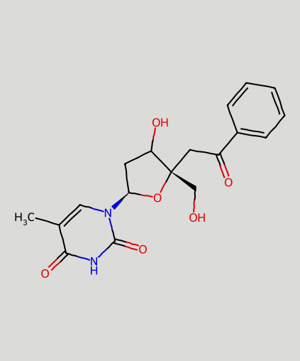 Cc1cn([C@H]2CC(O)[C@](CO)(CC(=O)c3ccccc3)O2)c(=O)[nH]c1=O